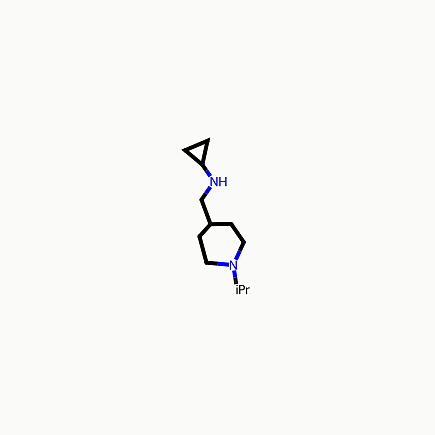 CC(C)N1CCC(CNC2CC2)CC1